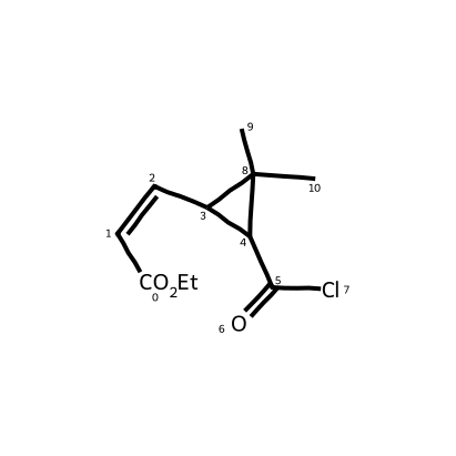 CCOC(=O)/C=C\C1C(C(=O)Cl)C1(C)C